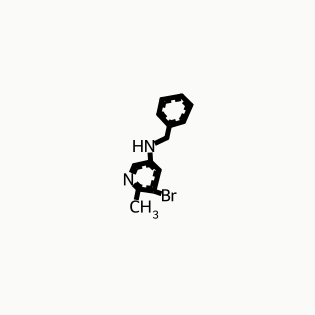 Cc1ncc(NCc2ccccc2)cc1Br